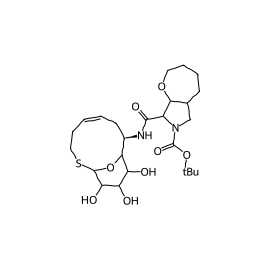 CC(C)(C)OC(=O)N1CC2CCCCOC2C1C(=O)N[C@@H]1C/C=C\CCSC2OC1C(O)C(O)C2O